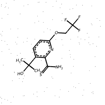 CC(C)(O)c1ccc(OCC(F)(F)F)nc1C(N)=S